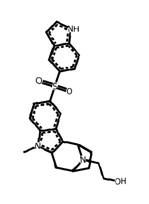 Cn1c2c(c3cc(S(=O)(=O)c4ccc5[nH]ccc5c4)ccc31)C1CCC(C2)N1CCO